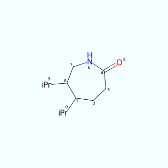 CC(C)C1CCC(=O)NCC1C(C)C